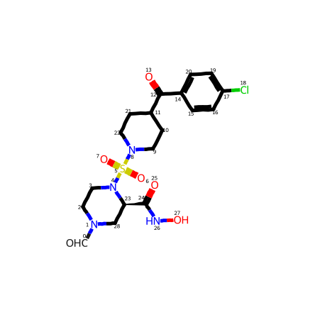 O=CN1CCN(S(=O)(=O)N2CCC(C(=O)c3ccc(Cl)cc3)CC2)[C@@H](C(=O)NO)C1